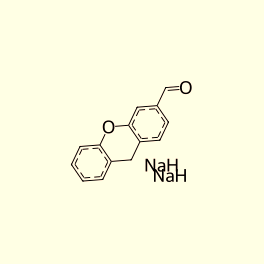 O=Cc1ccc2c(c1)Oc1ccccc1C2.[NaH].[NaH]